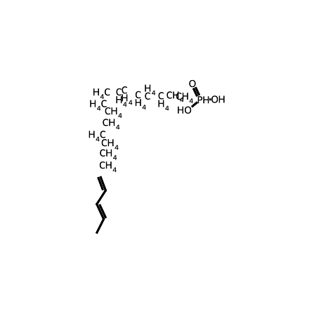 C.C.C.C.C.C.C.C.C.C.C.C.C.C.C.C=CC=CC.O=[PH](O)O